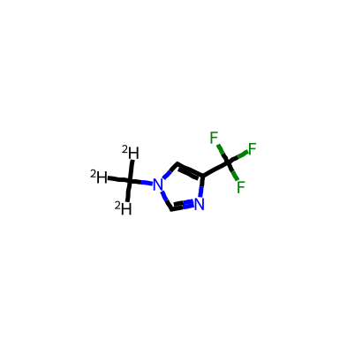 [2H]C([2H])([2H])n1cnc(C(F)(F)F)c1